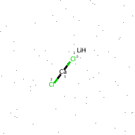 [Cl][Ca][Cl].[LiH]